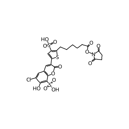 O=C(CCCCCc1sc(-c2cc3cc(Cl)c(O)c(S(=O)(=O)O)c3oc2=O)cc1S(=O)(=O)O)ON1C(=O)CCC1=O